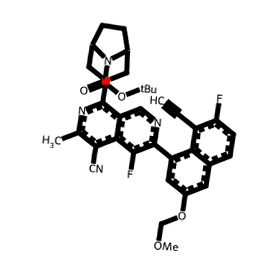 C#Cc1c(F)ccc2cc(OCOC)cc(-c3ncc4c(N5CC6CCC(C5)N6C(=O)OC(C)(C)C)nc(C)c(C#N)c4c3F)c12